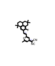 [C-]#[N+]/C(C#N)=C1\C=C(C)OC(/C=C/c2cc3c4c(c2F)CC(C)(C)CC4CCC3(C)C)=C1